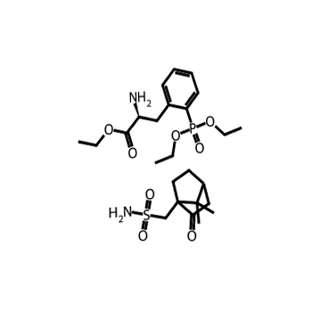 CC1(C)C2CCC1(CS(N)(=O)=O)C(=O)C2.CCOC(=O)[C@@H](N)Cc1ccccc1P(=O)(OCC)OCC